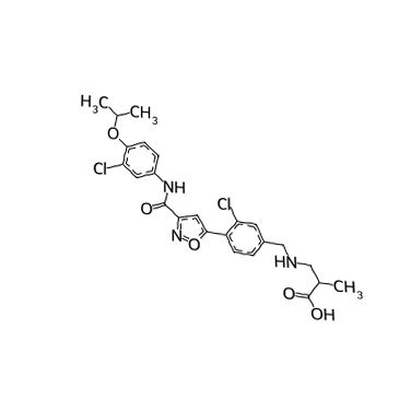 CC(C)Oc1ccc(NC(=O)c2cc(-c3ccc(CNCC(C)C(=O)O)cc3Cl)on2)cc1Cl